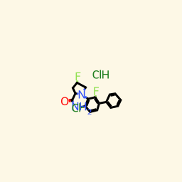 Cl.NC(=O)C1CC(F)CN1c1c(Cl)ccc(-c2ccccc2)c1F